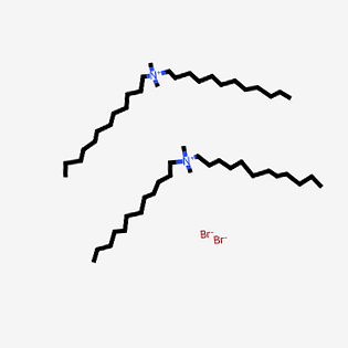 CCCCCCCCCCCC[N+](C)(C)CCCCCCCCCCCC.CCCCCCCCCCCC[N+](C)(C)CCCCCCCCCCCC.[Br-].[Br-]